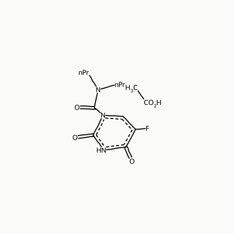 CC(=O)O.CCCN(CCC)C(=O)n1cc(F)c(=O)[nH]c1=O